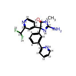 CN1C(=O)C(c2cccc(-c3ccccn3)c2)(c2ccnc(C(F)F)c2)N=C1N